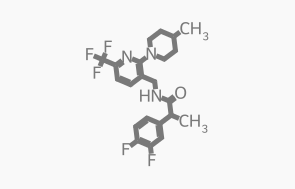 CC1CCN(c2nc(C(F)(F)F)ccc2CNC(=O)C(C)c2ccc(F)c(F)c2)CC1